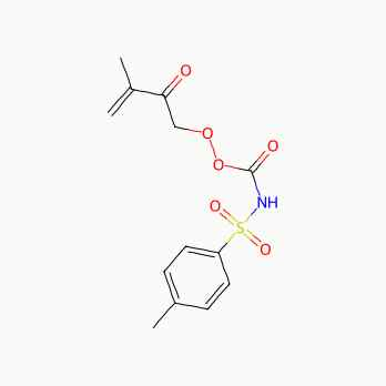 C=C(C)C(=O)COOC(=O)NS(=O)(=O)c1ccc(C)cc1